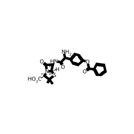 CC1(C)S[C@@H]2[C@H](NC(=O)C(N)c3ccc(OC(=O)c4ccccc4)cc3)C(=O)N2[C@H]1C(=O)O